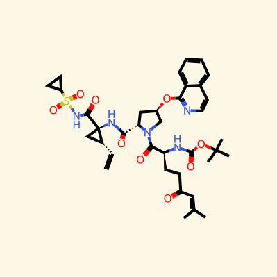 C=C[C@@H]1C[C@]1(NC(=O)[C@@H]1C[C@@H](Oc2nccc3ccccc23)CN1C(=O)[C@H](CCC(=O)C=C(C)C)NC(=O)OC(C)(C)C)C(=O)NS(=O)(=O)C1CC1